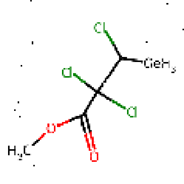 COC(=O)C(Cl)(Cl)[CH](Cl)[GeH3]